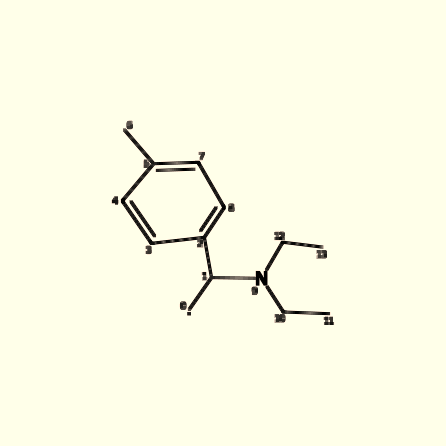 [CH2]C(c1ccc(C)cc1)N(CC)CC